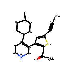 COC(=O)c1sc(C#CC(C)(C)C)cc1C1=C(C2CCC(C)CC2)CCNC1